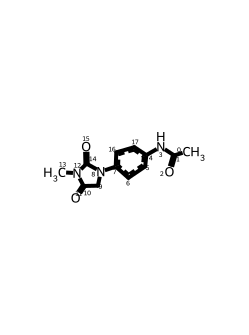 CC(=O)Nc1ccc(N2CC(=O)N(C)C2=O)cc1